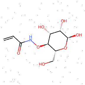 C=CC(=O)NO[C@H]1[C@H](O)[C@H](O)[C@@H](O)O[C@@H]1CO